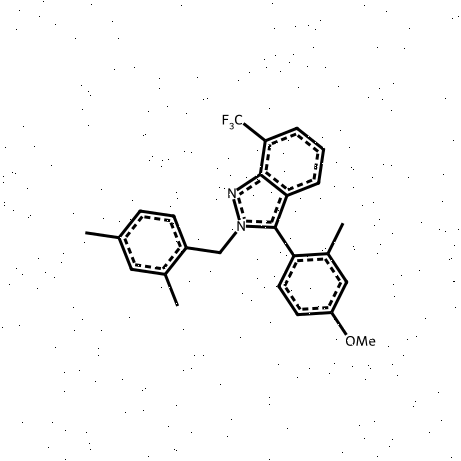 COc1ccc(-c2c3cccc(C(F)(F)F)c3nn2Cc2ccc(C)cc2C)c(C)c1